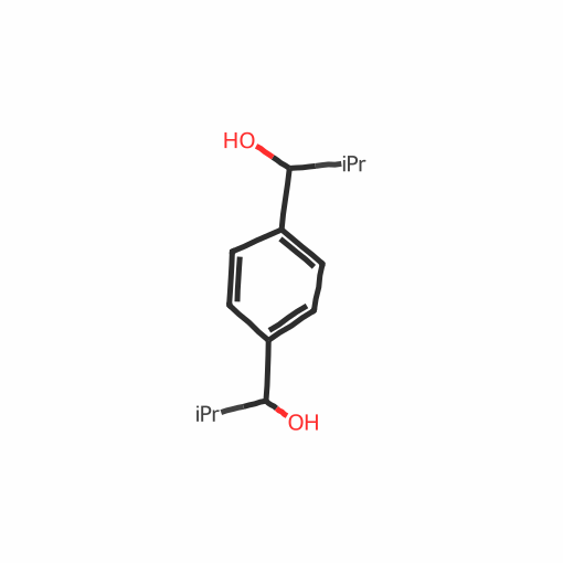 CC(C)C(O)c1ccc(C(O)C(C)C)cc1